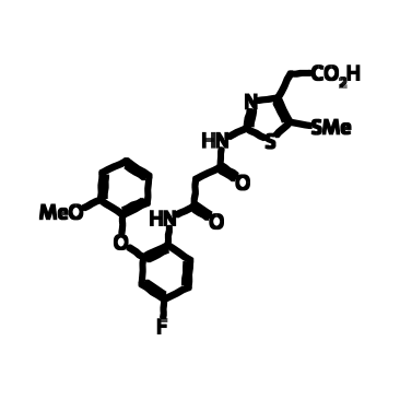 COc1ccccc1Oc1cc(F)ccc1NC(=O)CC(=O)Nc1nc(CC(=O)O)c(SC)s1